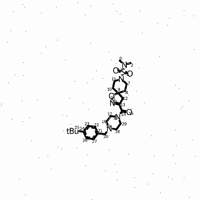 CN(C)S(=O)(=O)N1CCC2(CC1)CC(C(=O)N1CCN(Cc3ccc(C(C)(C)C)cc3)CC1)=NO2